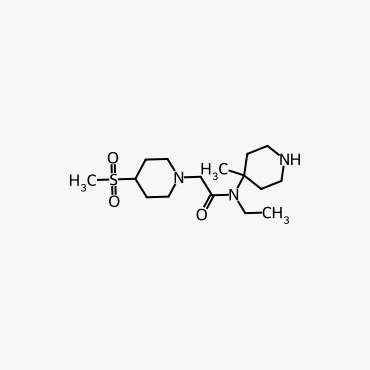 CCN(C(=O)CN1CCC(S(C)(=O)=O)CC1)C1(C)CCNCC1